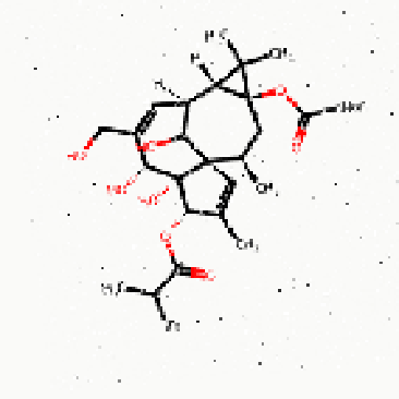 CCCCCCCCCC(=O)O[C@@]12C[C@@H](C)[C@]34C=C(C)[C@H](OC(=O)C(C)C(C)C)[C@@]3(O)[C@H](O)C(CO)=C[C@H](C4O)[C@@H]1C2(C)C